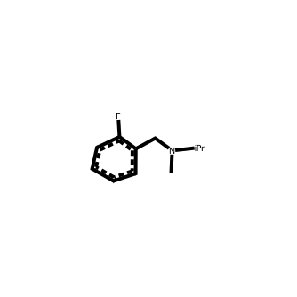 CC(C)N(C)Cc1c[c]ccc1F